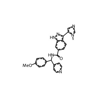 COc1ccc(C(NC(=O)c2ccc3c(-c4cncn4C)n[nH]c3c2)c2ccncc2)cc1